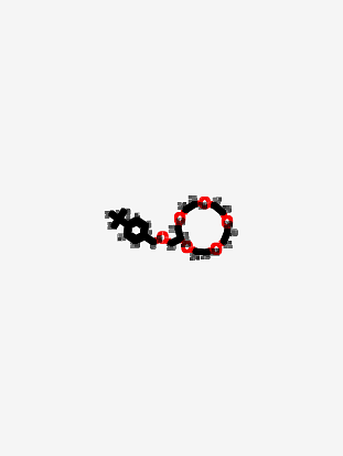 CC(C)(C)c1ccc(COCC2COCCOCCOCCOCCO2)cc1